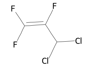 FC(F)=C(F)C(Cl)Cl